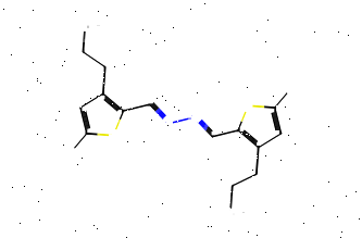 CCCCCCCCCCCCc1cc(C)sc1C=NN=Cc1sc(C)cc1CCCCCCCCCCCC